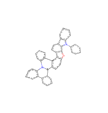 c1ccc(-n2c3ccccc3c3ccc4c(oc5ccc6c(c54)-c4ccccc4N4B6c5ccccc5-c5ccccc54)c32)cc1